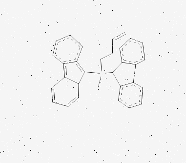 C=CCC[Si](C)(C1=c2ccccc2=C2C=CC=CC21)C1c2ccccc2-c2ccccc21.[Cl-].[Cl-].[Ti+2]